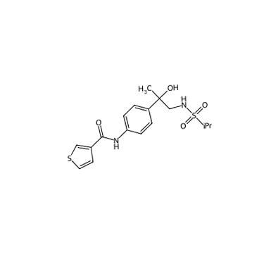 CC(C)S(=O)(=O)NCC(C)(O)c1ccc(NC(=O)c2ccsc2)cc1